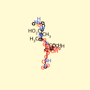 Cc1c(-c2ccc(N3CCc4cccc(C(=O)Nc5nc6ccccc6s5)c4C3)nc2C(=O)O)cnn1CC12CC3CC(C)(C1)CC(OCCN(CCC(=O)O)C(=O)OCc1ccc(OCCOCCNC(=O)CCN4C(=O)C=CC4=O)cc1O[C@@H]1O[C@H](C(=O)O)[C@@H](O)[C@H](O)[C@H]1O)(C3)C2